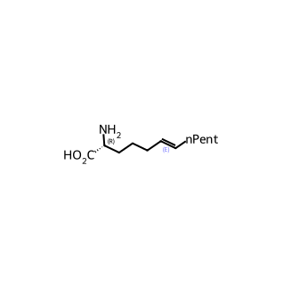 CCCCC/C=C/CCC[C@@H](N)C(=O)O